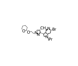 Cc1cn(CCOC2CCCCO2)nc1-c1cn(C(C)C)c2cc(Br)ncc12